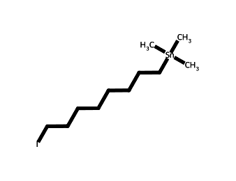 [CH3][Sn]([CH3])([CH3])[CH2]CCCCCCCI